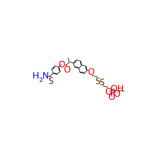 CCOP(=O)(O)OCCSSCCOc1ccc2cc(C(C)C(=O)Oc3ccc(C(N)=S)cc3)ccc2c1